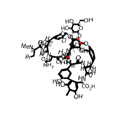 CN[C@H](CC(C)C)C(=O)N[C@H]1C(=O)NC(CC(N)=O)C(=O)N[C@H]2C(=O)N[C@H]3C(=O)N[C@H](C(=O)N[C@H](C(=O)O)C4=CC(O)C(C)C(O)=C4C4CC3=CC=C4O)[C@H](O)c3ccc(c(Cl)c3)Oc3cc2cc(c3O[C@@H]2O[C@H](CO)[C@@H](O)[C@H](O)[C@H]2O[C@H]2C[C@](C)(N)[C@H](O)[C@H](C)O2)Oc2ccc(cc2Cl)[C@H]1O